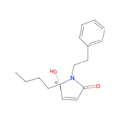 CCCC[C@]1(O)C=CC(=O)N1CCc1ccccc1